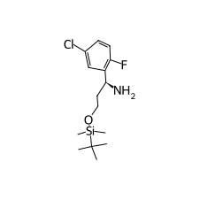 CC(C)(C)[Si](C)(C)OCC[C@H](N)c1cc(Cl)ccc1F